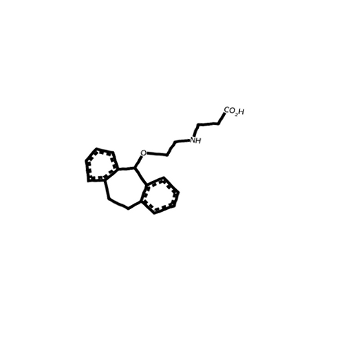 O=C(O)CCNCCOC1c2ccccc2CCc2ccccc21